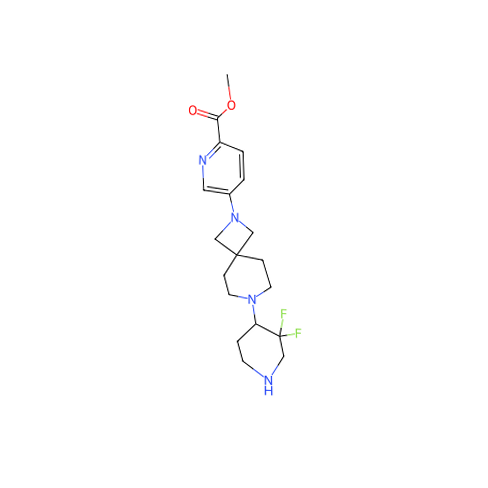 COC(=O)c1ccc(N2CC3(CCN(C4CCNCC4(F)F)CC3)C2)cn1